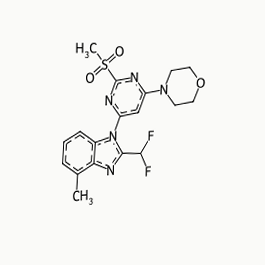 Cc1cccc2c1nc(C(F)F)n2-c1cc(N2CCOCC2)nc(S(C)(=O)=O)n1